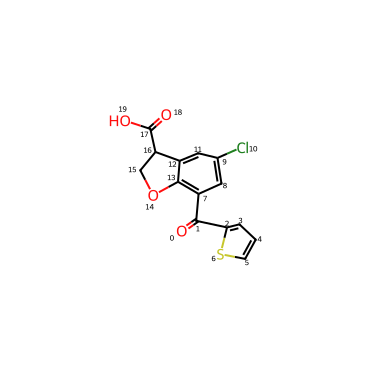 O=C(c1cccs1)c1cc(Cl)cc2c1OCC2C(=O)O